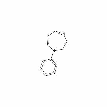 C1=CN(c2ccccc2)CCN=C1